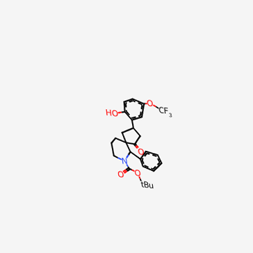 CC(C)(C)OC(=O)N1CCCC2(CC(c3cc(OC(F)(F)F)ccc3O)CC2=O)C1c1ccccc1